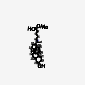 CO[C@@H](O)CCC/C=C(\C)[C@H]1CC[C@H]2[C@@H]3CC=C4C[C@@H](O)CC[C@]4(C)C3CC[C@]12C